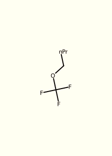 C[CH]CCOC(F)(F)F